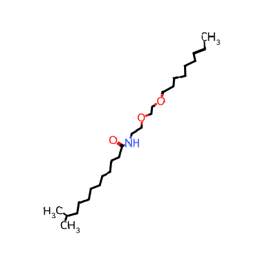 CCCCCCCCCOCCOCCNC(=O)CCCCCCCCCC(C)C